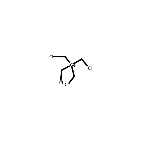 Cl[CH2][Ge]([CH2]Cl)([CH2]Cl)[CH2]Cl